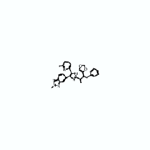 Cc1cccc(-c2[nH]c(C(C)C(Cc3ccccc3)C3=COCO3)nc2-c2ccc3nn(C)nc3c2)n1